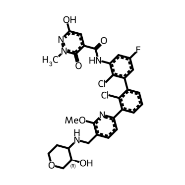 COc1nc(-c2cccc(-c3cc(F)cc(NC(=O)c4cc(O)nn(C)c4=O)c3Cl)c2Cl)ccc1CNC1CCOC[C@@H]1O